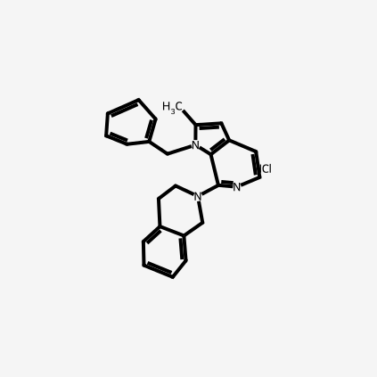 Cc1cc2ccnc(N3CCc4ccccc4C3)c2n1Cc1ccccc1.Cl